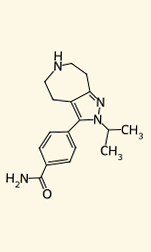 CC(C)n1nc2c(c1-c1ccc(C(N)=O)cc1)CCNCC2